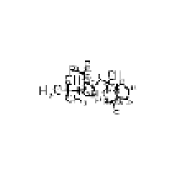 CC(C)(C)N1CCC(CC(C)(C)N2CCC[C@@H]2C(F)F)C1C(F)F